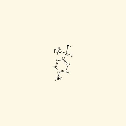 CC(C)c1ccc(C(C)(F)C(F)(F)F)cc1